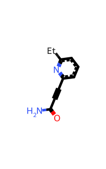 CCc1cccc(C#CC(N)=O)n1